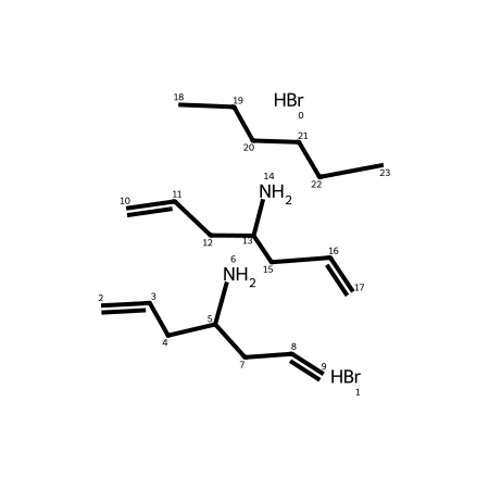 Br.Br.C=CCC(N)CC=C.C=CCC(N)CC=C.CCCCCC